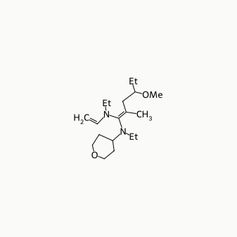 C=CN(CC)/C(=C(/C)CC(CC)OC)N(CC)C1CCOCC1